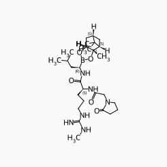 CNC(=N)NCCC[C@H](NC(=O)CN1CCCC1=O)C(=O)N[C@@H](CC(C)C)B1O[C@@H]2C[C@@H]3C[C@@H](C3(C)C)[C@]2(C)O1